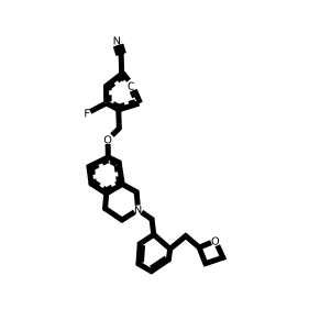 N#Cc1ccc(COc2ccc3c(c2)CN(CC2C=CC=CC2CC2CCO2)CC3)c(F)c1